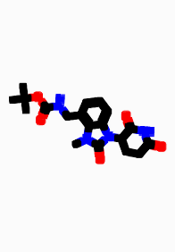 Cn1c(=O)n(C2CCC(=O)NC2=O)c2cccc(CNC(=O)OC(C)(C)C)c21